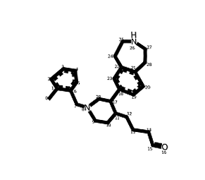 Cc1ccccc1CN1CCC(CCCC=O)C(c2ccc3c(c2)CCNCC3)C1